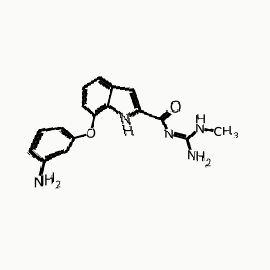 CNC(N)=NC(=O)c1cc2cccc(Oc3cccc(N)c3)c2[nH]1